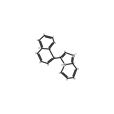 c1ccc2c(-c3cnc4ccccn34)cccc2c1